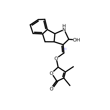 CC1=C(C)C(O/C=C2/C(O)NC3c4ccccc4CC23)OC1=O